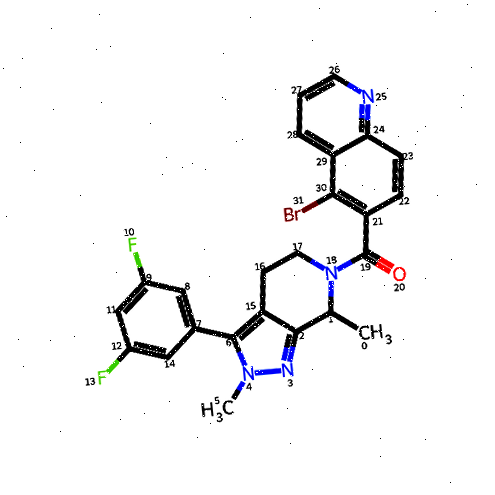 CC1c2nn(C)c(-c3cc(F)cc(F)c3)c2CCN1C(=O)c1ccc2ncccc2c1Br